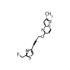 Cc1cc2nc(OCC#Cc3csc(CF)n3)ccn2n1